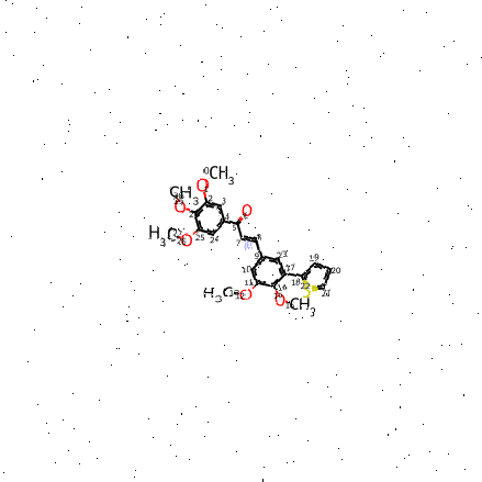 COc1cc(C(=O)/C=C/c2cc(OC)c(OC)c(-c3cccs3)c2)cc(OC)c1OC